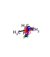 CCCCCCC(=O)Oc1c2n(cc(C(=O)NCc3ccc(F)cc3F)c1=O)[C@@H]1CN(C2=O)[C@@H](C)CC[C@]12CC(OC)=NO2